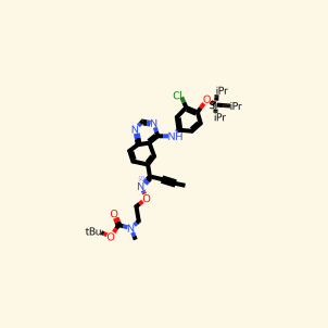 CC#C/C(=N\OCCN(C)C(=O)OC(C)(C)C)c1ccc2ncnc(Nc3ccc(O[Si](C(C)C)(C(C)C)C(C)C)c(Cl)c3)c2c1